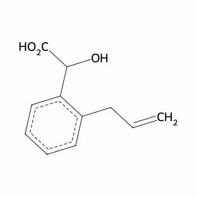 C=CCc1ccccc1C(O)C(=O)O